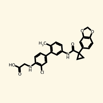 Cc1ccc(NC(=O)C2(c3ccc4c(c3)OCO4)CC2)cc1-c1ccc(NCC(=O)O)c(Cl)c1